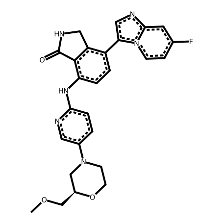 COC[C@H]1CN(c2ccc(Nc3ccc(-c4cnc5cc(F)ccn45)c4c3C(=O)NC4)nc2)CCO1